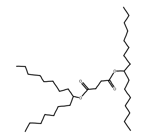 CCCCCCCCC(CCCCCCC)OC(=O)CCC(=O)OC(CCCCCCC)CCCCCCCC